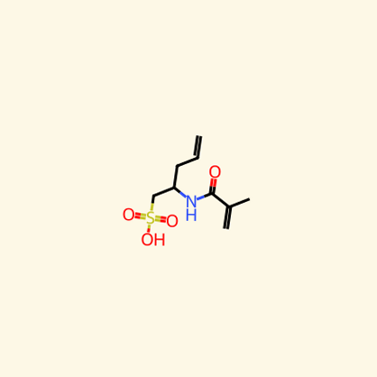 C=CCC(CS(=O)(=O)O)NC(=O)C(=C)C